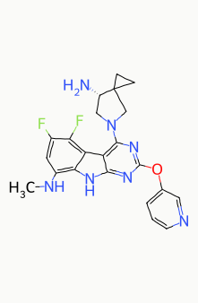 CNc1cc(F)c(F)c2c1[nH]c1nc(Oc3cccnc3)nc(N3C[C@H](N)C4(CC4)C3)c12